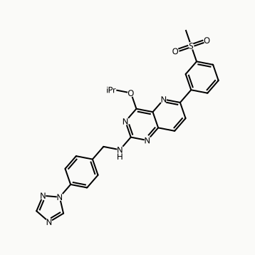 CC(C)Oc1nc(NCc2ccc(-n3cncn3)cc2)nc2ccc(-c3cccc(S(C)(=O)=O)c3)nc12